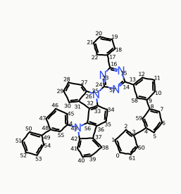 c1ccc(-c2cccc(-c3cccc(-c4nc(-c5ccccc5)nc(-n5c6ccccc6c6c5ccc5c7ccccc7n(-c7cccc(-c8ccccc8)c7)c56)n4)c3)c2)cc1